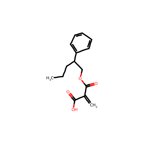 C=C(C(=O)O)C(=O)OCC(CCC)c1ccccc1